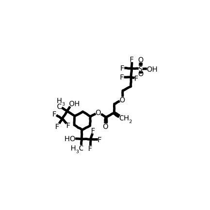 C=C(COCCC(F)(F)C(F)(F)S(=O)(=O)O)C(=O)OC1CC(C(C)(O)C(F)(F)F)CC(C(C)(O)C(F)(F)F)C1